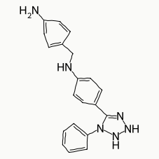 Nc1ccc(CNc2ccc(C3=NNNN3c3ccccc3)cc2)cc1